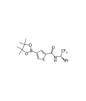 CC(C)[C@@H](NC(=O)c1cc(B2OC(C)(C)C(C)(C)O2)cs1)C(F)(F)F